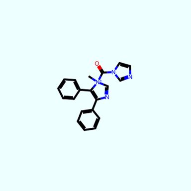 C[N+]1(C(=O)n2ccnc2)C=NC(c2ccccc2)=C1c1ccccc1